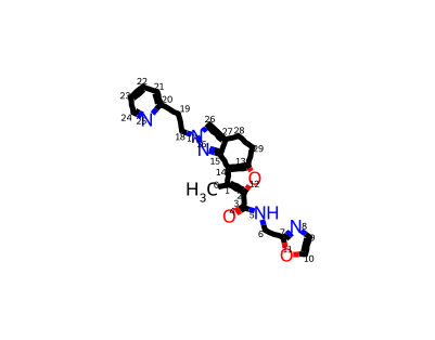 Cc1c(C(=O)NCc2ncco2)oc2c1-c1nn(CCc3ccccn3)cc1CC2